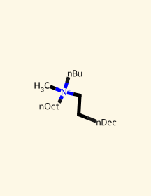 CCCCCCCCCCCC[N+](C)(CCCC)CCCCCCCC